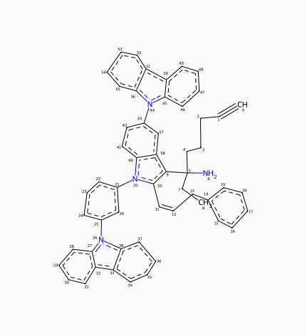 C#CCCCC(N)(CC)c1c(/C=C\Cc2ccccc2)n(-c2cccc(-n3c4ccccc4c4ccccc43)c2)c2ccc(-n3c4ccccc4c4ccccc43)cc12